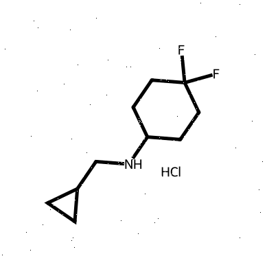 Cl.FC1(F)CCC(NCC2CC2)CC1